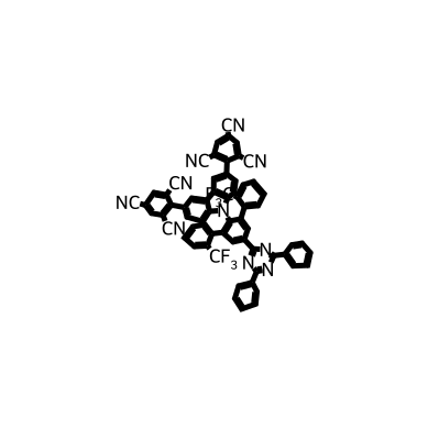 N#Cc1cc(C#N)c(-c2ccc3c(c2)c2cc(-c4c(C#N)cc(C#N)cc4C#N)ccc2n3-c2c(-c3ccccc3C(F)(F)F)cc(-c3nc(-c4ccccc4)nc(-c4ccccc4)n3)cc2-c2ccccc2C(F)(F)F)c(C#N)c1